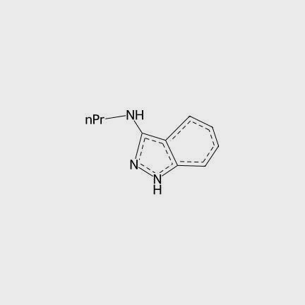 CCCNc1n[nH]c2ccccc12